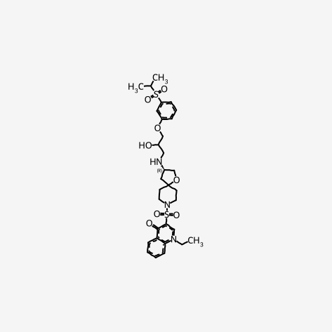 CCn1cc(S(=O)(=O)N2CCC3(CC2)C[C@@H](NCC(O)COc2cccc(S(=O)(=O)C(C)C)c2)CO3)c(=O)c2ccccc21